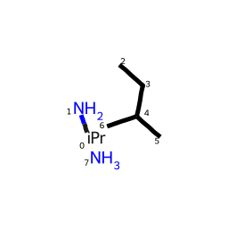 CC(C)N.CCC(C)C.N